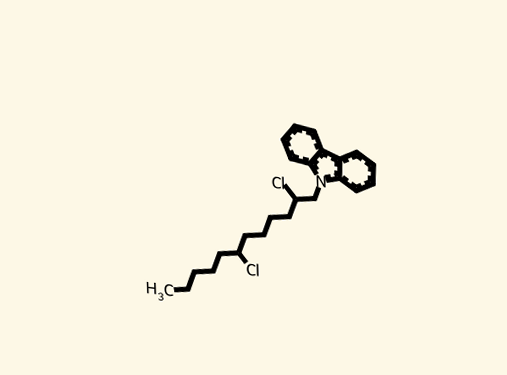 CCCCCC(Cl)CCCCC(Cl)Cn1c2ccccc2c2ccccc21